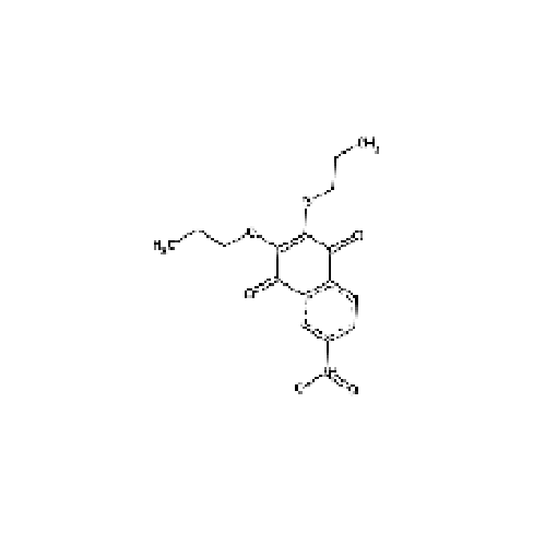 CCCOC1=C(OCCC)C(=O)c2cc([N+](=O)[O-])ccc2C1=O